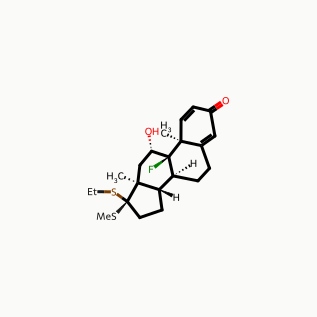 CCS[C@@]1(SC)CC[C@H]2[C@@H]3CCC4=CC(=O)C=C[C@]4(C)[C@@]3(F)[C@@H](O)C[C@@]21C